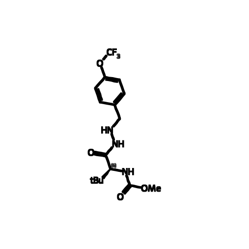 COC(=O)N[C@H](C(=O)NNCc1ccc(OC(F)(F)F)cc1)C(C)(C)C